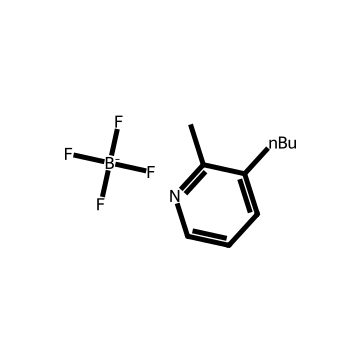 CCCCc1cccnc1C.F[B-](F)(F)F